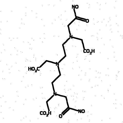 O=NC(=O)CN(CCN(CCN(CC(=O)O)CC(=O)N=O)CC(=O)O)CC(=O)O